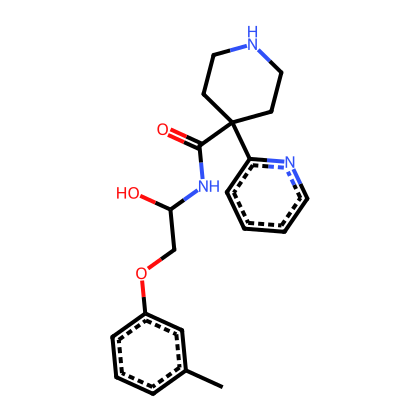 Cc1cccc(OCC(O)NC(=O)C2(c3ccccn3)CCNCC2)c1